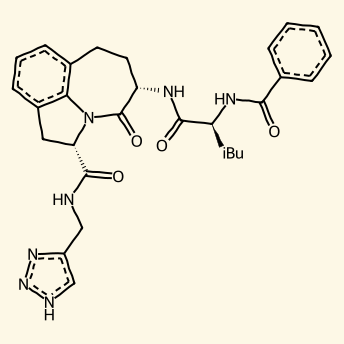 CCC(C)[C@H](NC(=O)c1ccccc1)C(=O)N[C@H]1CCc2cccc3c2N(C1=O)[C@H](C(=O)NCc1c[nH]nn1)C3